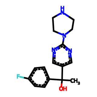 CC(O)(c1ccc(F)cc1)c1cnc(N2CCNCC2)nc1